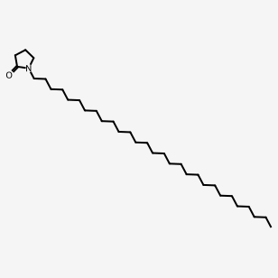 CCCCCCCCCCCCCCCCCCCCCCCCCCCCCN1CCCC1=O